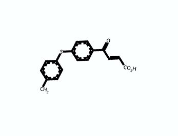 Cc1ccc(Sc2ccc(C(=O)C=CC(=O)O)cc2)cc1